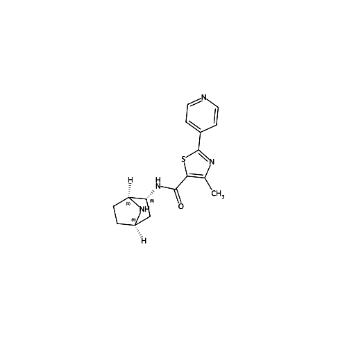 Cc1nc(-c2ccncc2)sc1C(=O)N[C@@H]1C[C@H]2CC[C@@H]1N2